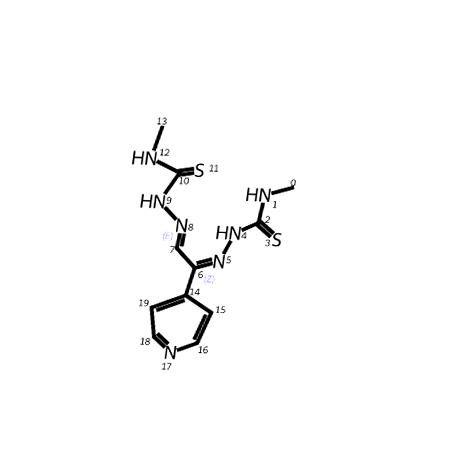 CNC(=S)N/N=C(\C=N\NC(=S)NC)c1ccncc1